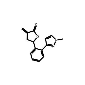 C=C1CC(c2ccccc2-c2ccn(C)n2)OC1=O